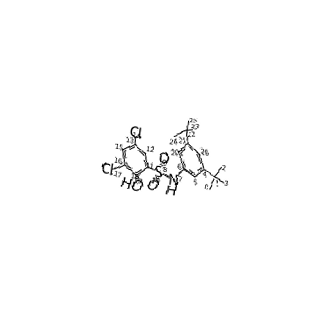 CC(C)(C)c1cc(NS(=O)(=O)c2cc(Cl)cc(Cl)c2O)cc(C(C)(C)C)c1